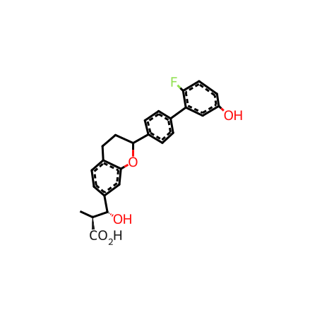 C[C@H](C(=O)O)[C@@H](O)c1ccc2c(c1)OC(c1ccc(-c3cc(O)ccc3F)cc1)CC2